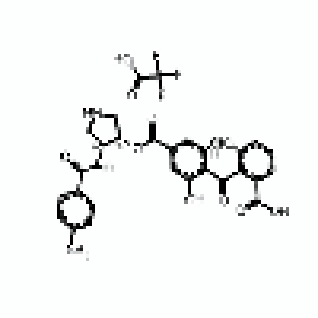 Nc1ccc(C(=O)N[C@H]2CNC[C@@H]2OC(=O)c2cc(O)c(C(=O)c3c(O)cccc3C(=O)O)c(O)c2)cc1.O=C(O)C(F)(F)F